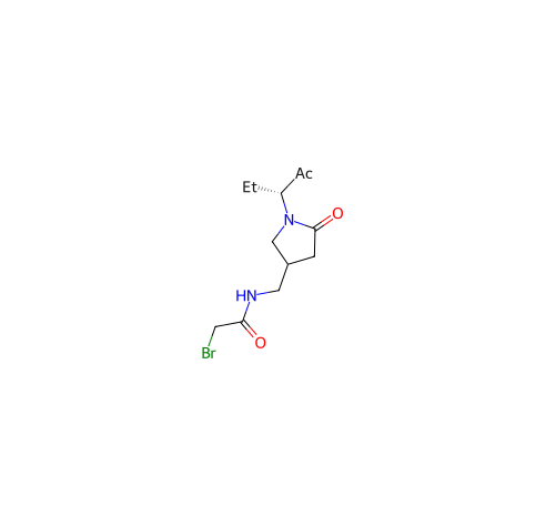 CC[C@H](C(C)=O)N1CC(CNC(=O)CBr)CC1=O